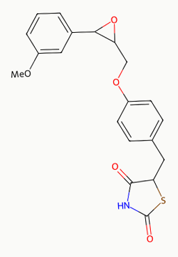 COc1cccc(C2OC2COc2ccc(CC3SC(=O)NC3=O)cc2)c1